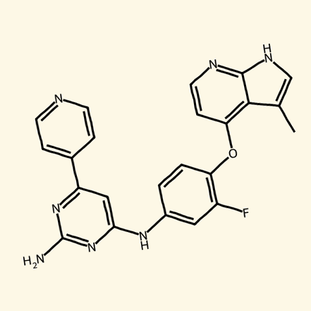 Cc1c[nH]c2nccc(Oc3ccc(Nc4cc(-c5ccncc5)nc(N)n4)cc3F)c12